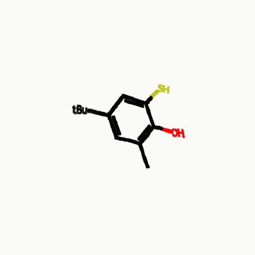 Cc1cc(C(C)(C)C)cc(S)c1O